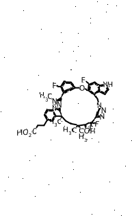 Cn1nc2nc1-c1cc(ccc1F)Oc1c(F)cc3[nH]ccc3c1Cn1cc(nn1)C(F)(F)C(O)C(C)(C)CCC2(C)c1cccc(CCC(=O)O)c1